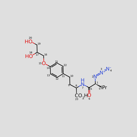 CC(C)[C@H](N=[N+]=[N-])C(=O)NC(CCc1ccc(OCC(O)CO)cc1)C(=O)O